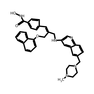 CN1CCN(Cc2ccc3ncc(NCC(=Cc4ccc(C(=O)NO)cc4)COc4cccc5ccccc45)cc3c2)CC1